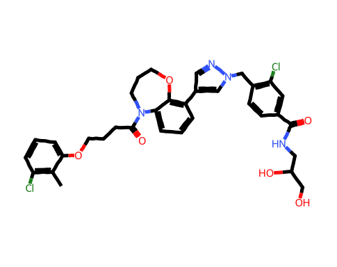 Cc1c(Cl)cccc1OCCCC(=O)N1CCCOc2c(-c3cnn(Cc4ccc(C(=O)NCC(O)CO)cc4Cl)c3)cccc21